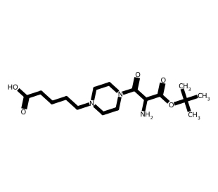 CC(C)(C)OC(=O)C(N)C(=O)N1CCN(CCCCC(=O)O)CC1